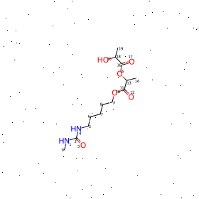 CNC(=O)NCCCCCOC(=O)C(C)OC(=O)C(C)O